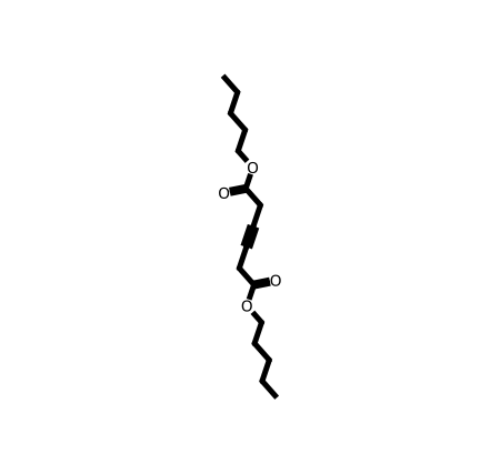 CCCCCOC(=O)CC#CCC(=O)OCCCCC